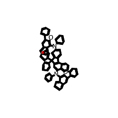 c1ccc(N(c2ccc3c(c2)C(c2ccccc2)(c2ccccc2)c2cc(N(c4ccccc4)c4c5ccccc5cc5c4oc4ccccc45)c4ccccc4c2-3)c2c3ccccc3cc3c2oc2ccccc23)cc1